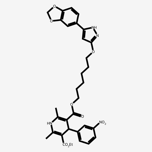 CCOC(=O)C1=C(C)NC(C)=C(C(=O)OCCCCCCOc2cc(-c3ccc4c(c3)OCO4)[nH]n2)C1c1cccc([N+](=O)[O-])c1